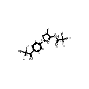 CC1CN(c2ccc(C(=O)C(F)(F)F)cc2)N=C1NC(=O)C(F)(F)F